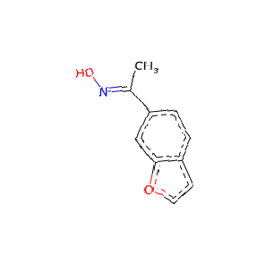 CC(=NO)c1ccc2ccoc2c1